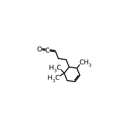 CC1C=CCC(C)(C)C1CCC=C=O